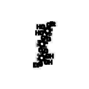 CCOc1ccc(C(=O)Oc2ccc(OC(=O)c3ccc(OCC)c(O)c3O)cc2)c(O)c1O